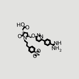 CS(=O)(=O)c1ccc(CCCN2C(=O)[C@H](CC(=O)O)C[C@H]2COc2ccc(-c3ccc(C(=N)N)cc3)nn2)cc1